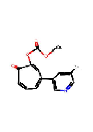 Cc1cncc(-c2cccc(=O)c(OC(=O)OC(C)(C)C)c2)c1